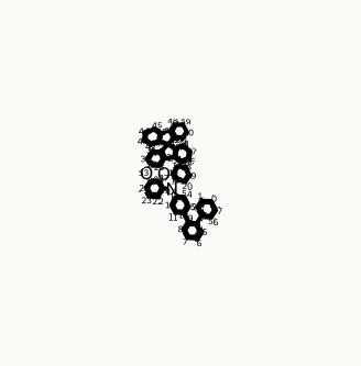 c1ccc(-c2ccccc2-c2ccc(N(c3ccccc3)c3cccc4c3Oc3c(ccc5c3-c3ccccc3C53c5ccccc5-c5ccccc53)O4)cc2)cc1